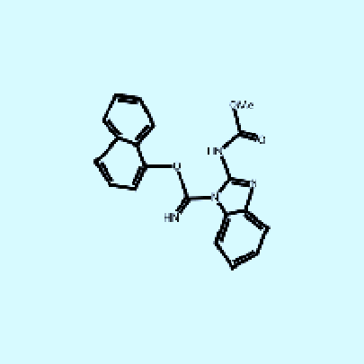 COC(=O)Nc1nc2ccccc2n1C(=N)Oc1cccc2ccccc12